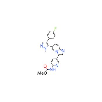 COC(=O)Nc1ccc(-c2cnc3ccc(-c4c(-c5ccc(F)cc5)cnn4C)cn23)cn1